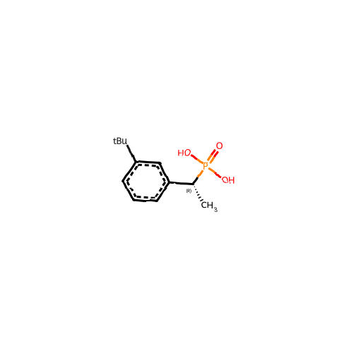 C[C@H](c1cccc(C(C)(C)C)c1)P(=O)(O)O